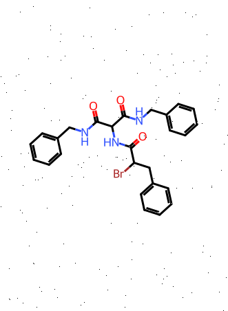 O=C(NC(C(=O)NCc1ccccc1)C(=O)NCc1ccccc1)C(Br)Cc1ccccc1